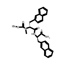 CN(C(=O)OC(C)(C)C)[C@H](Cc1ccc2ccccc2c1)C(=O)N[C@H](Cc1ccc2ccccc2c1)C(N)=S